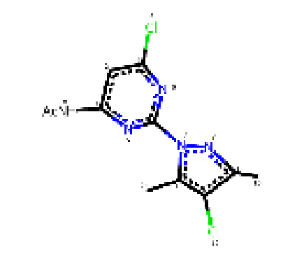 CC(=O)Nc1cc(Cl)nc(-n2nc(C)c(Cl)c2C)n1